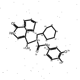 C[C@@H](c1c[nH]c(=O)c2ccccc12)N(CC1CCCCC1)C(=O)Nc1ccc(F)c(Cl)c1